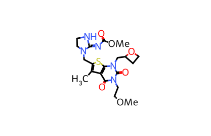 COCCn1c(=O)c2c(C)c(CN3CCNC3=NC(=O)OC)sc2n(CC2CCO2)c1=O